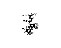 CCCCCCCC(CC(=O)O)OC(=O)CC(CCCCCCC)OC1OC(C)C(O)C(OC2OC(C)C(O)C(O)C2O)C1O.O